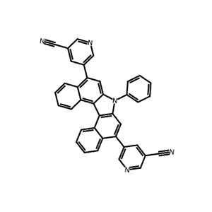 N#Cc1cncc(-c2cc3c(c4ccccc24)c2c4ccccc4c(-c4cncc(C#N)c4)cc2n3-c2ccccc2)c1